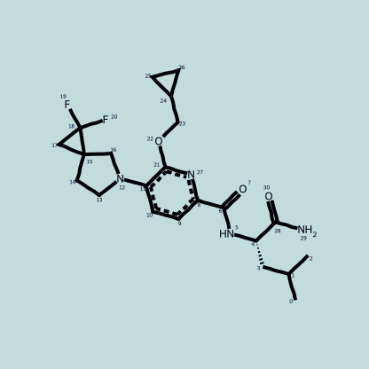 CC(C)C[C@H](NC(=O)c1ccc(N2CCC3(C2)CC3(F)F)c(OCC2CC2)n1)C(N)=O